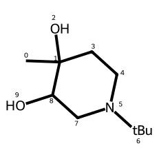 CC1(O)CCN(C(C)(C)C)CC1O